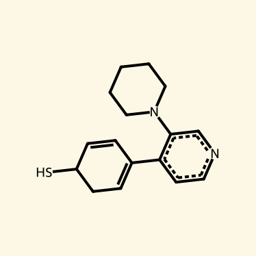 SC1C=CC(c2ccncc2N2CCCCC2)=CC1